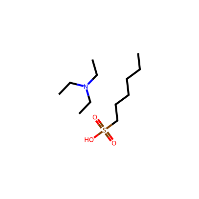 CCCCCCS(=O)(=O)O.CCN(CC)CC